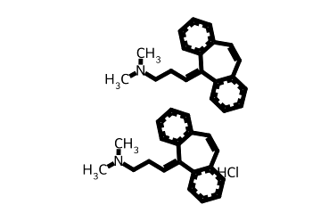 CN(C)CCC=C1c2ccccc2C=Cc2ccccc21.CN(C)CCC=C1c2ccccc2C=Cc2ccccc21.Cl